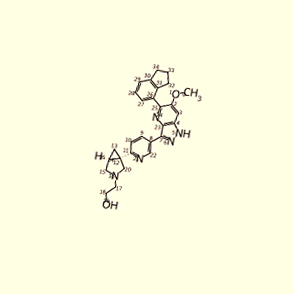 COc1cc2[nH]nc(-c3ccc([C@@]45C[C@@H]4CN(CCO)C5)nc3)c2nc1-c1cccc2c1CCC2